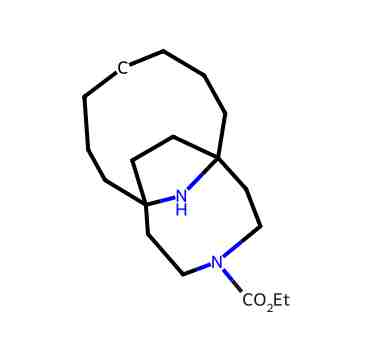 CCOC(=O)N1CCC23CCCCCCCC(CC1)(CC2)N3